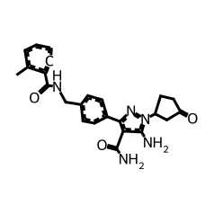 Cc1ccccc1C(=O)NCc1ccc(-c2nn(C3CCC(=O)C3)c(N)c2C(N)=O)cc1